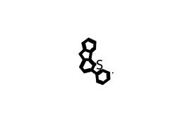 [c]1cccc2c1sc1c3c(ccc12)Cc1ccccc1-3